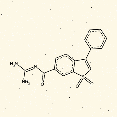 NC(N)=NC(=O)c1ccc2c(c1)S(=O)(=O)C=C2c1ccccc1